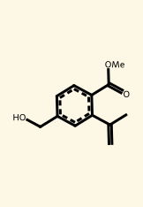 C=C(C)c1cc(CO)ccc1C(=O)OC